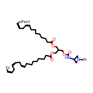 CC/C=C\C/C=C\C/C=C\CCCCCCCC(=O)OCC(COC(=O)CCCCCCC/C=C\C/C=C\CCCCC)COC(=O)NC1CN(C(C)C)C1